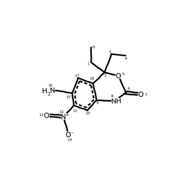 CCC1(CC)OC(=O)Nc2cc([N+](=O)[O-])c(N)cc21